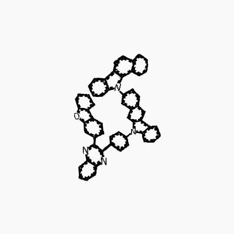 c1ccc2c(c1)ccc1c3ccccc3n(-c3ccc4cc5c6ccccc6n(-c6ccc(-c7nc8ccccc8nc7-c7ccc8c(c7)oc7ccccc78)cc6)c5cc4c3)c21